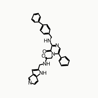 O=C(Cn1c(-c2ccccc2)cnc(NCc2ccc(-c3ccccc3)cc2)c1=O)NCc1cc2cnccc2[nH]1